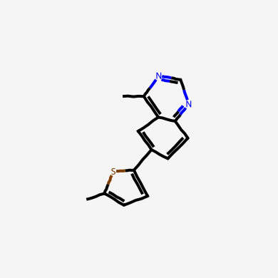 Cc1ccc(-c2ccc3ncnc(C)c3c2)s1